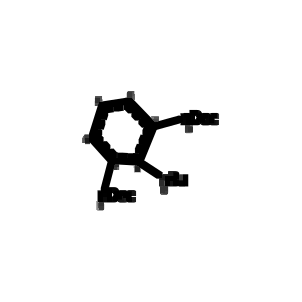 [CH2]CCCc1c(CCCCCCCCCC)cccc1CCCCCCCCCC